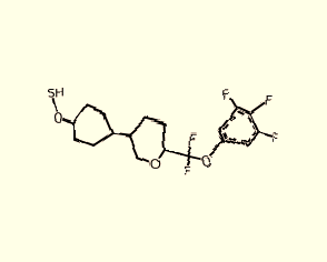 Fc1cc(OC(F)(F)C2CCC(C3CCC(OS)CC3)CO2)cc(F)c1F